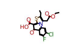 CCOC(=O)Cc1c(CC)sc2c(C(=O)O)c(=O)c3cc(F)c(Cl)cc3n12